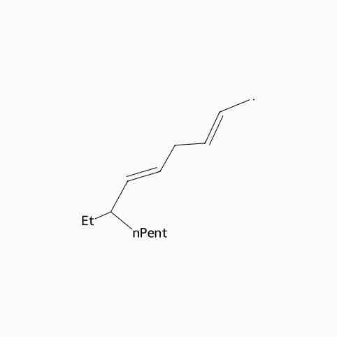 [CH2]C=CCC=CC(CC)CC[CH]CC